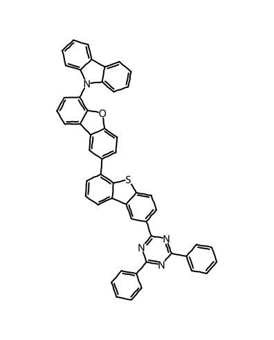 c1ccc(-c2nc(-c3ccccc3)nc(-c3ccc4sc5c(-c6ccc7oc8c(-n9c%10ccccc%10c%10ccccc%109)cccc8c7c6)cccc5c4c3)n2)cc1